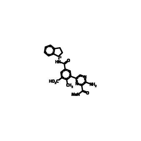 CNC(=O)c1nc(-c2cc(C(=O)N[C@H]3CCc4ccccc43)cc(C(=O)O)c2C)cnc1N